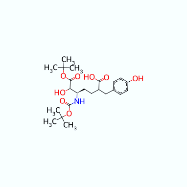 CC(C)(C)OC(=O)N[C@H](CCC(Cc1ccc(O)cc1)C(=O)O)C(O)C(=O)OC(C)(C)C